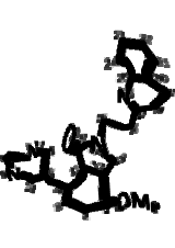 COc1ccc(-c2cncnc2)c2c1CN(CCc1ccc3ccccc3n1)C2=O